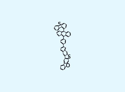 c1ccc2c(c1)oc1cc3sc4cc5cc(-c6ccc(-c7c8ccccc8c(-c8cccc9sc%10ccccc%10c89)c8ccccc78)cc6)ccc5cc4c3cc12